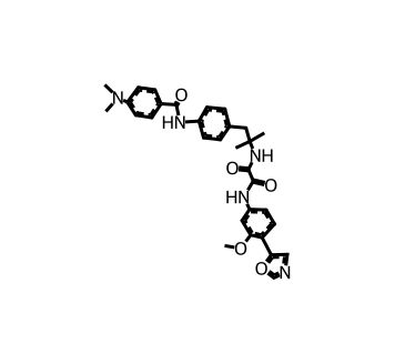 COc1cc(NC(=O)C(=O)NC(C)(C)Cc2ccc(NC(=O)c3ccc(N(C)C)cc3)cc2)ccc1-c1cnco1